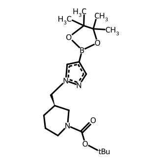 CC(C)(C)OC(=O)N1CCC[C@@H](Cn2cc(B3OC(C)(C)C(C)(C)O3)cn2)C1